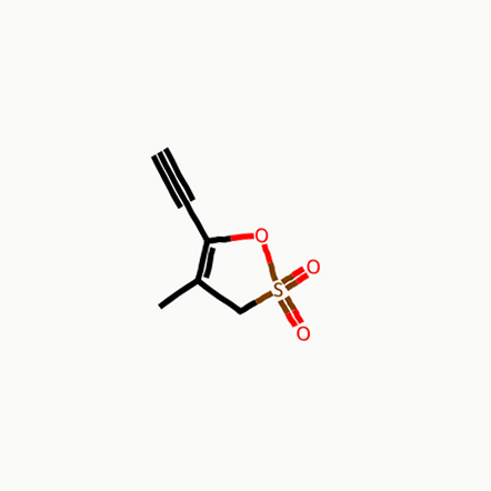 C#CC1=C(C)CS(=O)(=O)O1